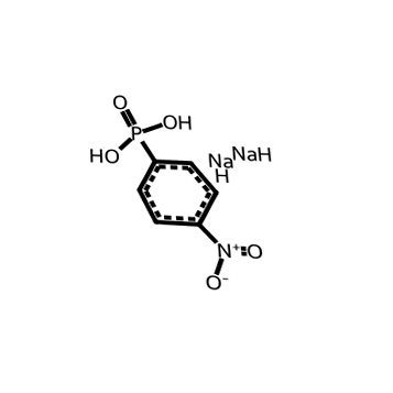 O=[N+]([O-])c1ccc(P(=O)(O)O)cc1.[NaH].[NaH]